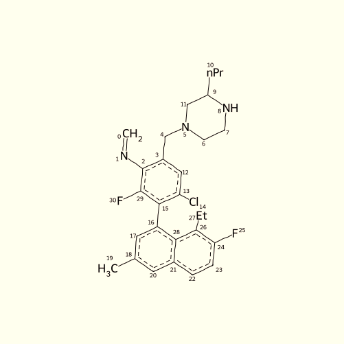 C=Nc1c(CN2CCNC(CCC)C2)cc(Cl)c(-c2cc(C)cc3ccc(F)c(CC)c23)c1F